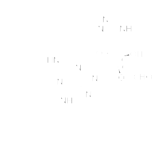 O=CO[C@@H]1[C@H](O)[C@@H](c2nnc[nH]2)O[C@H]1n1cnc2c(NCC(c3ccccc3)c3ccccc3)nc(NC3CCCC3)nc21